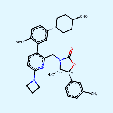 COc1ccc([C@H]2CC[C@H](C=O)CC2)cc1-c1ccc(N2CCC2)nc1CN1C(=O)O[C@H](c2cccc(C)c2)[C@@H]1C